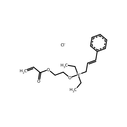 C=CC(=O)OCCO[N+](CC)(CC)CC=Cc1ccccc1.[Cl-]